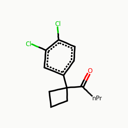 CCCC(=O)C1(c2ccc(Cl)c(Cl)c2)CCC1